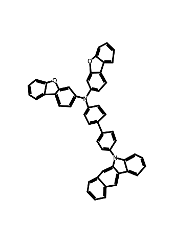 c1ccc2cc3c(cc2c1)c1ccccc1n3-c1ccc(-c2ccc(N(c3ccc4c(c3)oc3ccccc34)c3ccc4c(c3)oc3ccccc34)cc2)cc1